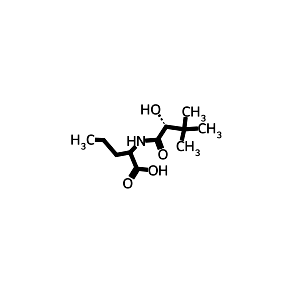 CCCC(NC(=O)[C@H](O)C(C)(C)C)C(=O)O